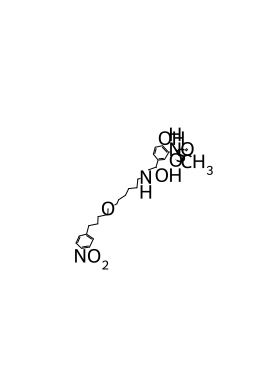 CS(=O)(=O)Nc1cc(C(O)CNCCCCCCOCCCCc2ccc([N+](=O)[O-])cc2)ccc1O